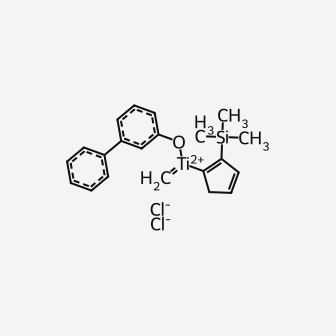 [CH2]=[Ti+2]([O]c1cccc(-c2ccccc2)c1)[C]1=C([Si](C)(C)C)C=CC1.[Cl-].[Cl-]